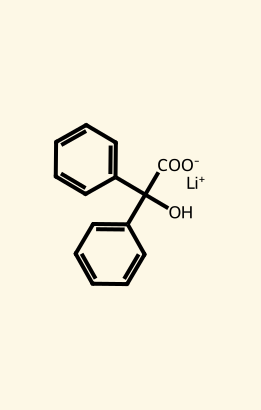 O=C([O-])C(O)(c1ccccc1)c1ccccc1.[Li+]